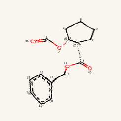 O=CO[C@@H]1CCCC[C@@H]1C(=O)OCc1ccccc1